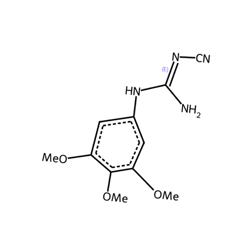 COc1cc(N/C(N)=N/C#N)cc(OC)c1OC